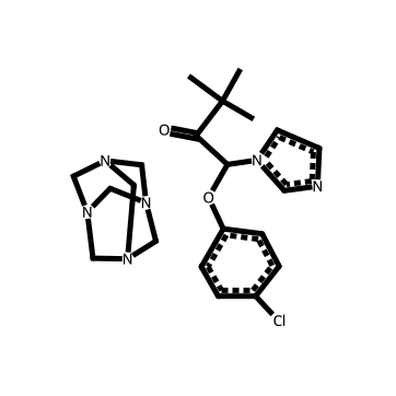 C1N2CN3CN1CN(C2)C3.CC(C)(C)C(=O)C(Oc1ccc(Cl)cc1)n1ccnc1